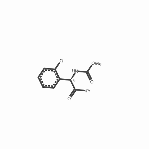 COC(=O)N[C@@H](C(=O)C(C)C)c1ccccc1Cl